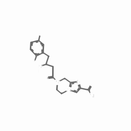 NC(=O)c1cn2c(n1)CN(C(=O)CC(N)Cc1cc(F)ccc1F)CC2